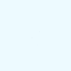 CCC(C)(CC)C(C)(C)F